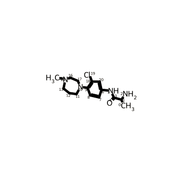 CC(N)C(=O)Nc1ccc(N2CCCN(C)CC2)c(Cl)c1